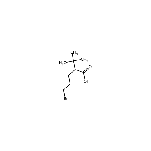 CC(C)(C)C(CCCBr)C(=O)O